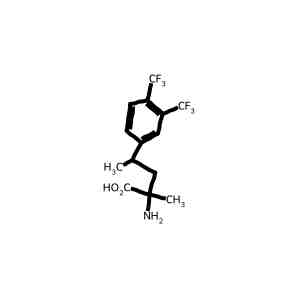 CC(CC(C)(N)C(=O)O)c1ccc(C(F)(F)F)c(C(F)(F)F)c1